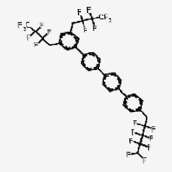 FC(F)C(F)(F)C(F)(F)C(F)(F)Cc1ccc(-c2ccc(-c3ccc(-c4cc(CC(F)(F)C(F)(F)C(F)(F)F)cc(CC(F)(F)C(F)(F)C(F)(F)F)c4)cc3)cc2)cc1